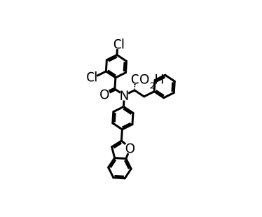 O=C(O)[C@H](Cc1ccccc1)N(C(=O)c1ccc(Cl)cc1Cl)c1ccc(-c2cc3ccccc3o2)cc1